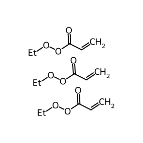 C=CC(=O)OOCC.C=CC(=O)OOCC.C=CC(=O)OOCC